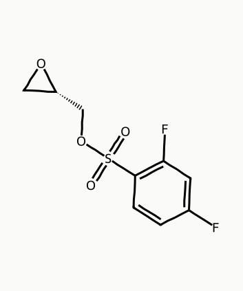 O=S(=O)(OC[C@@H]1CO1)c1ccc(F)cc1F